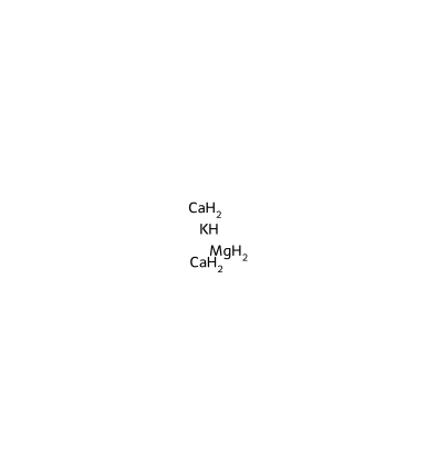 [CaH2].[CaH2].[KH].[MgH2]